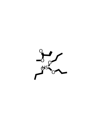 C=CC(=O)OC.CCCO[SiH](OCCC)OCCC